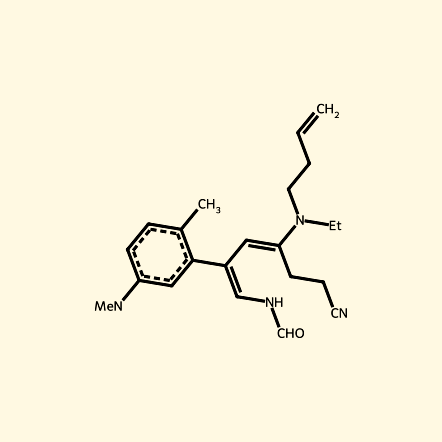 C=CCCN(CC)/C(=C/C(=C\NC=O)c1cc(NC)ccc1C)CCC#N